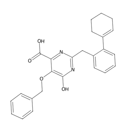 O=C(O)c1nc(Cc2ccccc2C2=CCCCC2)nc(O)c1OCc1ccccc1